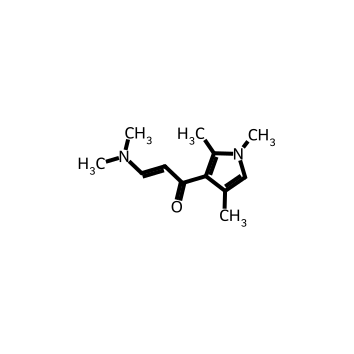 Cc1cn(C)c(C)c1C(=O)C=CN(C)C